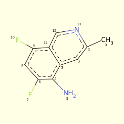 Cc1cc2c(N)c(F)cc(F)c2cn1